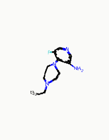 CC(C)(C)CN1CCN(c2c(N)cncc2F)CC1